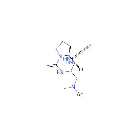 C=C1N[C@H]2C(CN(C)C(C)=O)NC(=C)N3CCC[C@]23N1